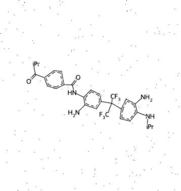 CC(C)Nc1ccc(C(c2ccc(NC(=O)c3ccc(C(=O)C(C)C)cc3)c(N)c2)(C(F)(F)F)C(F)(F)F)cc1N